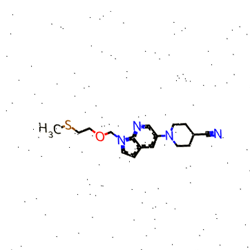 CSCCOCn1ccc2cc(N3CCC(C#N)CC3)cnc21